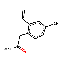 C=Cc1cc(C#N)ccc1CC(=O)OC